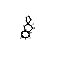 CCC1(CC)[C]c2ccccc2CC1